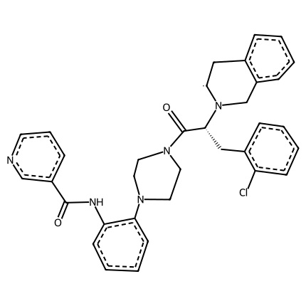 O=C(Nc1ccccc1N1CCN(C(=O)[C@@H](Cc2ccccc2Cl)N2[CH]Cc3ccccc3C2)CC1)c1cccnc1